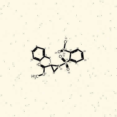 COC(=O)[C@]1(Cc2ccccc2)CN1S(=O)(=O)c1ccccc1[N+](=O)[O-]